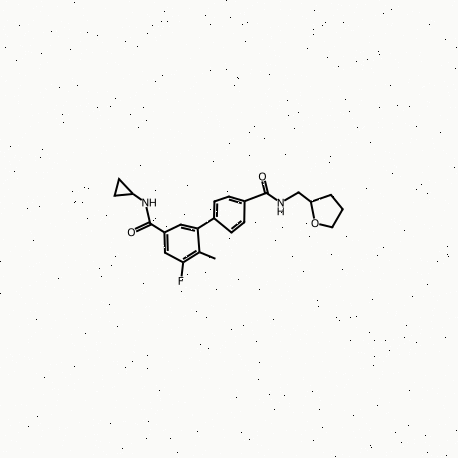 Cc1c(F)cc(C(=O)NC2CC2)cc1-c1ccc(C(=O)NCC2CCCO2)cc1